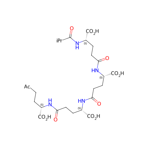 CC(=O)CC[C@H](NC(=O)CC[C@H](NC(=O)CC[C@H](NC(=O)CC[C@H](NC(=O)C(C)C)C(=O)O)C(=O)O)C(=O)O)C(=O)O